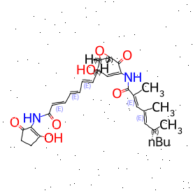 CCCC[C@@H](C)/C=C(C)/C=C(\C)C(=O)NC1=C[C@](O)(/C=C/C=C/C=C/C(=O)NC2=C(O)CCC2=O)[C@@H]2O[C@@H]2C1=O